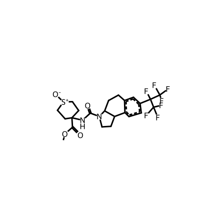 COC(=O)C1(NC(=O)N2CCC3c4ccc(C(F)(C(F)(F)F)C(F)(F)F)cc4CCC32)CC[S+]([O-])CC1